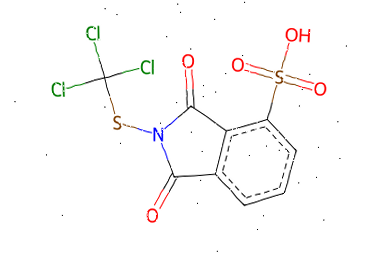 O=C1c2cccc(S(=O)(=O)O)c2C(=O)N1SC(Cl)(Cl)Cl